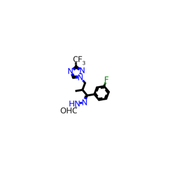 CC(Cn1cnc(C(F)(F)F)n1)C(=NNC=O)c1cccc(F)c1